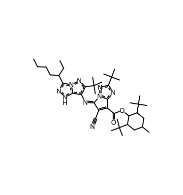 CCCCC(CC)c1n[nH]c2c(/N=C3/C(C#N)=C(C(=O)OC4C(C(C)(C)C)CC(C)CC4C(C)(C)C)c4nc(C(C)(C)C)nn43)c(C(C)(C)C)nn12